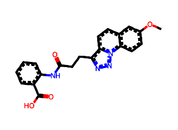 COc1ccc2c(ccc3c(CCC(=O)Nc4ccccc4C(=O)O)nnn32)c1